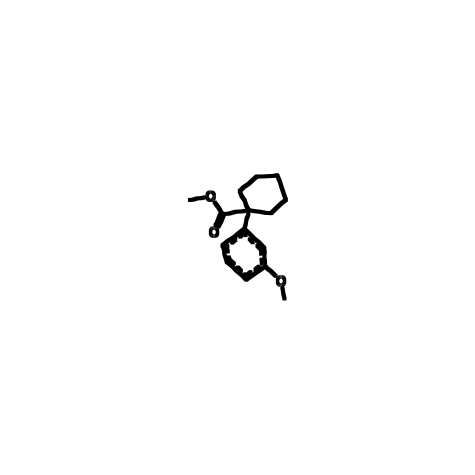 COC(=O)C1(c2cccc(OC)c2)CCCCC1